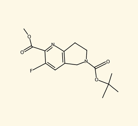 COC(=O)c1nc2c(cc1F)CN(C(=O)OC(C)(C)C)CC2